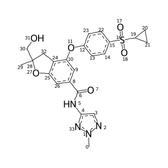 Cn1ncc(NC(=O)c2cc(Oc3ccc(S(=O)(=O)C4CC4)cc3)c3c(c2)OC(C)(CO)C3)n1